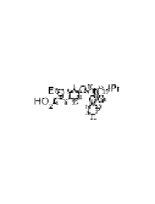 CCOC(Cc1ccc(OCCN(CCC(C)C)C(=O)OC2CCCCC2)cc1)C(=O)O